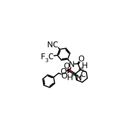 N#Cc1ccc(N2C(=O)[C@@H]3C4CCC(CN4C(=O)OCc4ccccc4)[C@@H]3C2=O)cc1C(F)(F)F